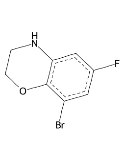 Fc1cc(Br)c2c(c1)NCCO2